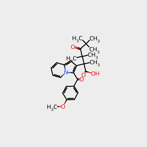 COc1ccc(C(=O)c2c(C(C)(C(=O)O)C(C)(C)C(=O)C(C)(C)C)cc3ccccn23)cc1